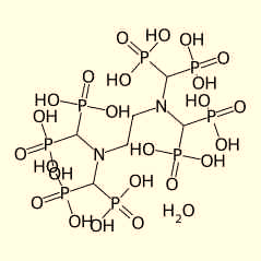 O.O=P(O)(O)C(N(CCN(C(P(=O)(O)O)P(=O)(O)O)C(P(=O)(O)O)P(=O)(O)O)C(P(=O)(O)O)P(=O)(O)O)P(=O)(O)O